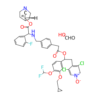 O=C(Cc1ccc(CNC(C(=O)O[C@H]2CN3CCC2CC3)c2ccccc2F)cc1)OC(Cc1c(Cl)c[n+]([O-])cc1Cl)c1ccc(OC(F)F)c(OCC2CC2)c1.O=CO